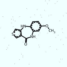 COc1ccc2c(c1)NC(=O)c1cscc1N2